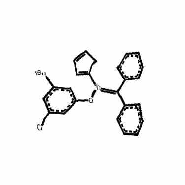 CC(C)(C)c1cc(Cl)cc([O][Ti]([C]2=CC=CC2)=[C](c2ccccc2)c2ccccc2)c1